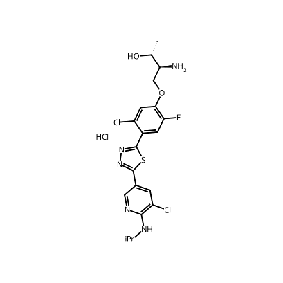 CC(C)Nc1ncc(-c2nnc(-c3cc(F)c(OC[C@H](N)[C@@H](C)O)cc3Cl)s2)cc1Cl.Cl